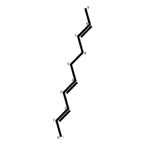 [CH2]/C=C/C=C/CC/C=C/C